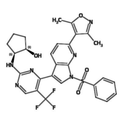 Cc1noc(C)c1-c1ccc2c(-c3nc(N[C@H]4CCC[C@H]4O)ncc3C(F)(F)F)cn(S(=O)(=O)c3ccccc3)c2n1